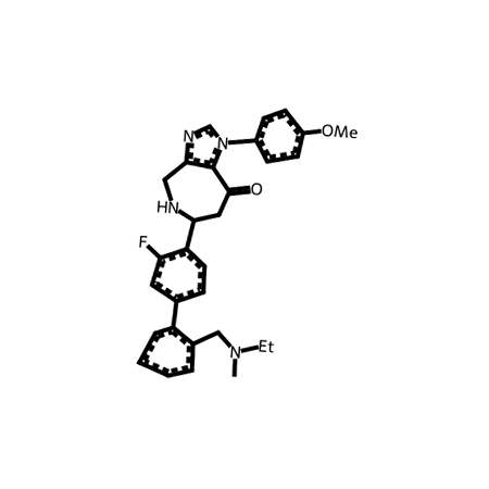 CCN(C)Cc1ccccc1-c1ccc(C2CC(=O)c3c(ncn3-c3ccc(OC)cc3)CN2)c(F)c1